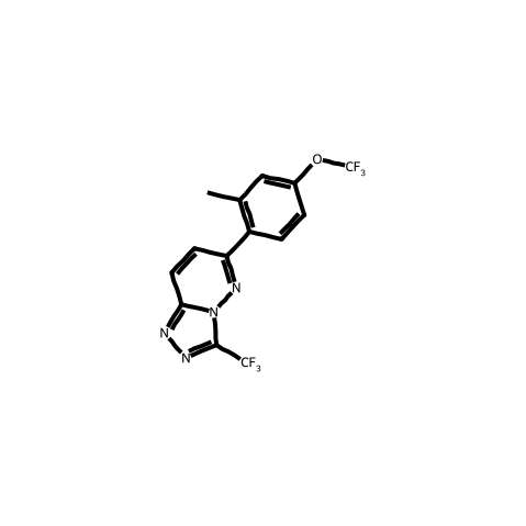 Cc1cc(OC(F)(F)F)ccc1-c1ccc2nnc(C(F)(F)F)n2n1